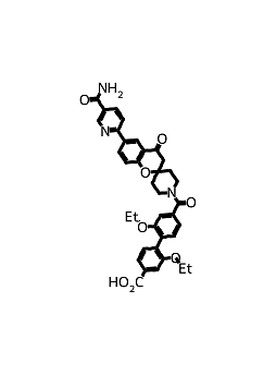 CCOc1cc(C(=O)O)ccc1-c1ccc(C(=O)N2CCC3(CC2)CC(=O)c2cc(-c4ccc(C(N)=O)cn4)ccc2O3)cc1OCC